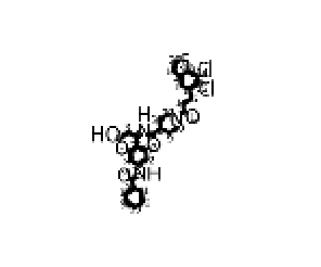 O=C(O)CC(NC(=O)C1CCN(C(=O)C=Cc2cc3ccsc3c(Cl)c2Cl)CC1)c1ccc(NC(=O)c2ccccc2)cc1